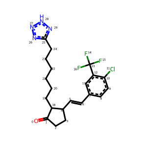 O=C1CCC(C=Cc2ccc(Cl)c(C(F)(F)F)c2)C1CCCCCCc1nn[nH]n1